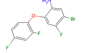 Nc1cc(Br)c(F)cc1Oc1ccc(F)cc1F